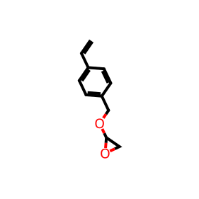 C=Cc1ccc(COC2CO2)cc1